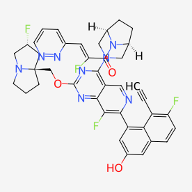 C#Cc1c(F)ccc2cc(O)cc(-c3ncc4c(N5C[C@H]6CC[C@@H](C5)N6C(=O)/C(F)=C/c5cccnn5)nc(OC[C@@]56CCCN5C[C@H](F)C6)nc4c3F)c12